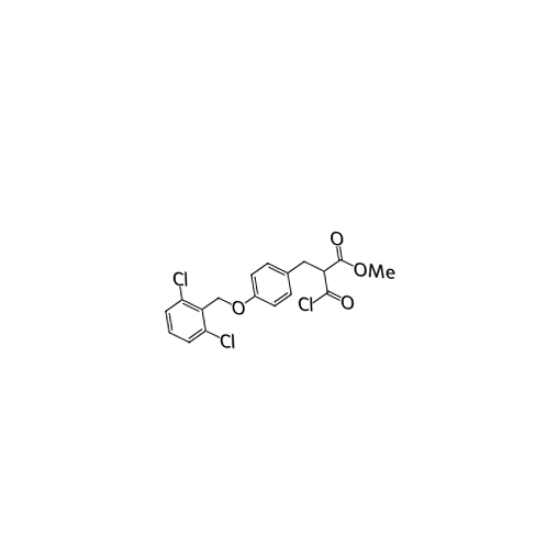 COC(=O)C(Cc1ccc(OCc2c(Cl)cccc2Cl)cc1)C(=O)Cl